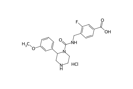 COc1cccc(C2CNCCN2C(=O)NCc2ccc(C(=O)O)cc2F)c1.Cl